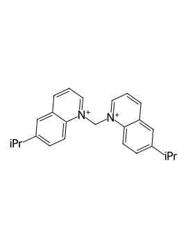 CC(C)c1ccc2c(ccc[n+]2C[n+]2cccc3cc(C(C)C)ccc32)c1